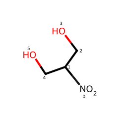 O=[N+]([O-])C(CO)CO